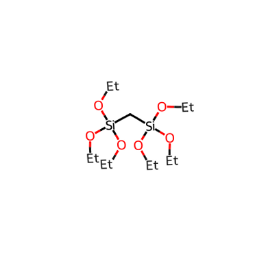 CCO[Si](C[Si](OCC)(OCC)OCC)(OCC)OCC